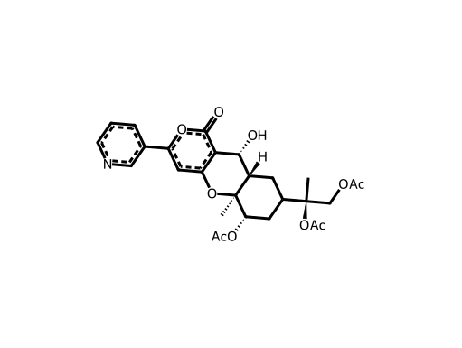 CC(=O)OC[C@](C)(OC(C)=O)C1C[C@H](OC(C)=O)[C@@]2(C)Oc3cc(-c4cccnc4)oc(=O)c3[C@H](O)[C@@H]2C1